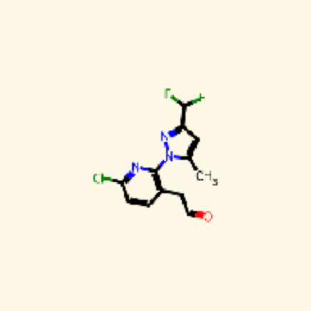 Cc1cc(C(F)F)nn1-c1nc(Cl)ccc1CC=O